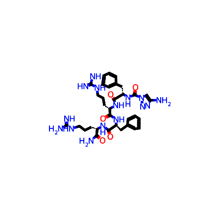 N=C(N)NCCC[C@H](NC(=O)[C@H](Cc1ccccc1)NC(=O)[C@H](CCCNC(=N)N)NC(=O)[C@H](Cc1ccccc1)NC(=O)n1cc(N)nn1)C(N)=O